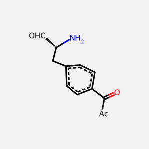 CC(=O)C(=O)c1ccc(C[C@H](N)C=O)cc1